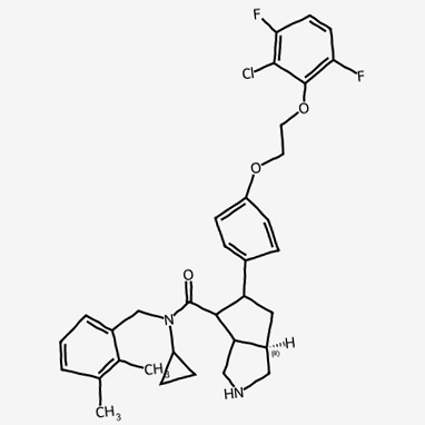 Cc1cccc(CN(C(=O)C2C(c3ccc(OCCOc4c(F)ccc(F)c4Cl)cc3)C[C@H]3CNCC23)C2CC2)c1C